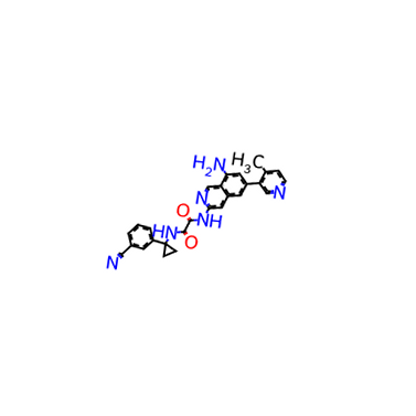 Cc1ccncc1-c1cc(N)c2cnc(NC(=O)C(=O)NC3(c4cccc(C#N)c4)CC3)cc2c1